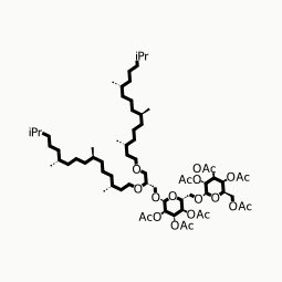 CC(=O)OC[C@H]1O[C@H](OC[C@H]2O[C@@H](OC[C@@H](COCC[C@H](C)CCC[C@H](C)CCC[C@H](C)CCCC(C)C)OCC[C@H](C)CCC[C@H](C)CCC[C@H](C)CCCC(C)C)[C@H](OC(C)=O)[C@@H](OC(C)=O)[C@@H]2OC(C)=O)[C@H](OC(C)=O)[C@@H](OC(C)=O)[C@H]1OC(C)=O